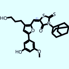 COc1cc(O)cc(-c2cc(CCCO)c(/C=C3/SC(=S)N(C4C5CC6CC(C5)CC4C6)C3=O)o2)c1